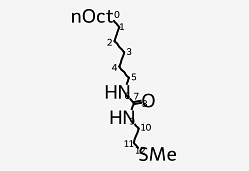 CCCCCCCCCCCCCNC(=O)NCCSC